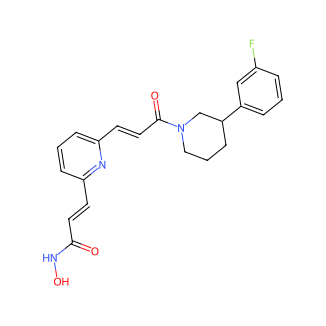 O=C(C=Cc1cccc(C=CC(=O)N2CCCC(c3cccc(F)c3)C2)n1)NO